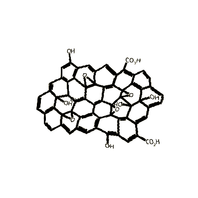 O=C(O)C1=c2ccc3c4c2C25OC26C27OC28c2c(cc9c%10c2C2=C7C7=C5C1=CC1=Cc5c(O)cc%11c%12c5C5(OC175)C2=C1C%12(O)C2(O)C(=C%11)C=CC5=C2C2(OC1%102)C(=C9)C=C5)C(O)=c1cc(C(=O)O)c2c(c18)C6(O)C4(O)C(=CC=3)C=2